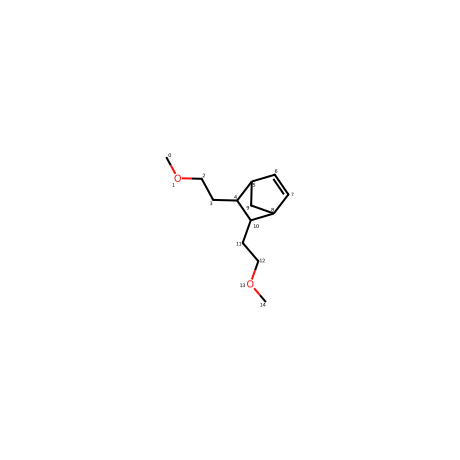 COCCC1C2C=CC(C2)C1CCOC